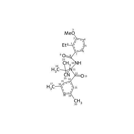 CCc1c(OC)cccc1C(=O)NN(C(=O)c1cc(C)cc(C)c1)C(C)(C)C#N